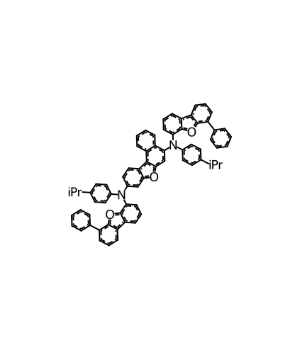 CC(C)c1ccc(N(c2ccc3c(c2)oc2cc(N(c4ccc(C(C)C)cc4)c4cccc5c4oc4c(-c6ccccc6)cccc45)c4ccccc4c23)c2cccc3c2oc2c(-c4ccccc4)cccc23)cc1